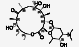 CC1O[C@@H](O[C@H]2[C@H](C)[C@@H](O)[C@](C)(O)C[C@@H](C)C(=O)[C@H](C)[C@@H](O)[C@@H](C)[C@@H](C)OC(=O)[C@@H]2C)CC(N(C)C)[C@@H]1O